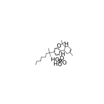 CCCCCCC(C)(C)c1cc2c(c(OP(=O)(O)O)c1)[C@@H]1CC(C)=CC[C@H]1C(C)(C)O2